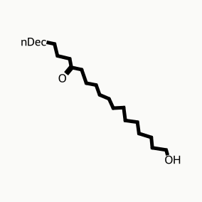 CCCCCCCCCCCCCC(=O)CCCCCCCCCCCCCO